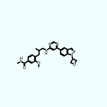 CNC(=O)c1ccc(CC(C)CNc2cc(-c3ccc4c(cnn4C4COC4)c3)ncn2)c(OC)c1